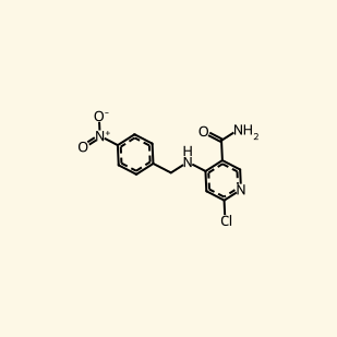 NC(=O)c1cnc(Cl)cc1NCc1ccc([N+](=O)[O-])cc1